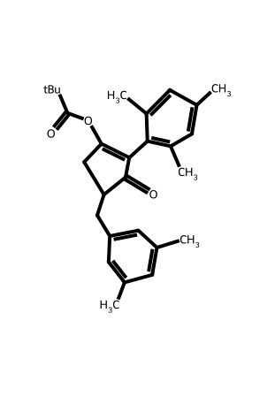 Cc1cc(C)cc(CC2CC(OC(=O)C(C)(C)C)=C(c3c(C)cc(C)cc3C)C2=O)c1